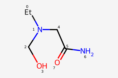 CCN(CO)CC(N)=O